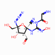 N#C[C@@]1(N/C(=N/O)NC(=O)C=N)O[C@@](CO)(N=[N+]=[N-])[C@@H](O)[C@H]1C=O